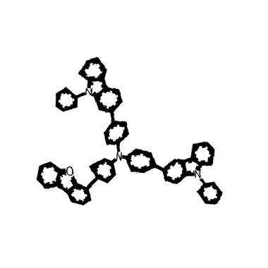 c1ccc(-n2c3ccccc3c3cc(-c4ccc(N(c5ccc(-c6ccc7c8ccccc8n(-c8ccccc8)c7c6)cc5)c5ccc(-c6cccc7c6oc6ccccc67)cc5)cc4)ccc32)cc1